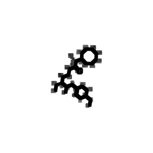 CCC1CC=C(CC(C)[C@@H](CC)CCCC(=O)[C@H](C)C2CCCCCCC2)CC1